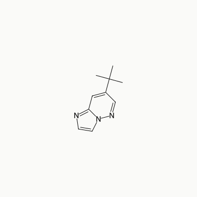 CC(C)(C)c1cnn2ccnc2c1